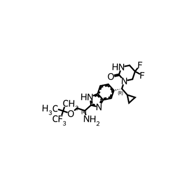 CC(C)(OC[C@H](N)c1nc2cc([C@@H](C3CC3)N3CC(F)(F)CNC3=O)ccc2[nH]1)C(F)(F)F